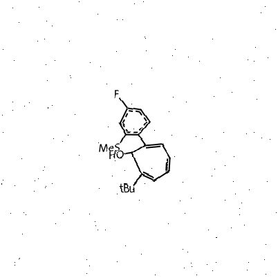 CSc1cc(F)ccc1C1=CC=CC=C(C(C)(C)C)C1O